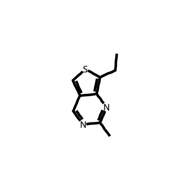 CCc1scc2cnc(C)nc12